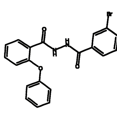 O=C(NNC(=O)c1ccccc1Oc1ccccc1)c1cccc(Br)c1